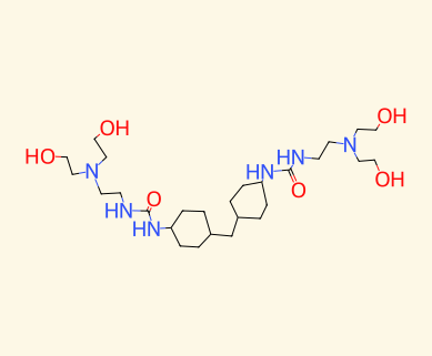 O=C(NCCN(CCO)CCO)NC1CCC(CC2CCC(NC(=O)NCCN(CCO)CCO)CC2)CC1